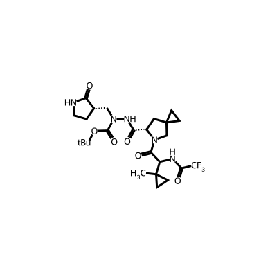 CC(C)(C)OC(=O)N(C[C@@H]1CCNC1=O)NC(=O)[C@@H]1CC2(CC2)CN1C(=O)C(NC(=O)C(F)(F)F)C1(C)CC1